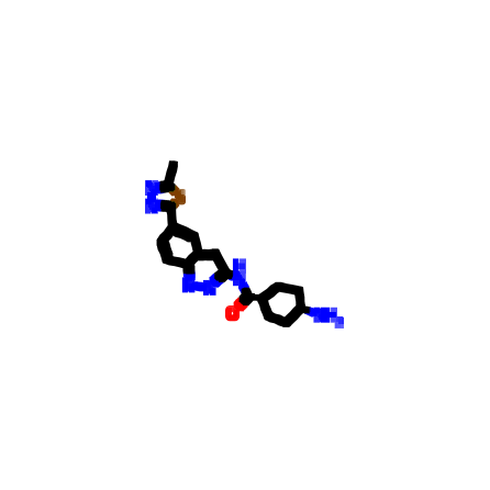 Cc1nnc(-c2ccc3nnc(NC(=O)[C@H]4CC[C@H](N)CC4)cc3c2)s1